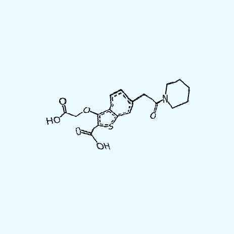 O=C(O)COc1c(C(=O)O)sc2cc(CC(=O)N3CCCCC3)ccc12